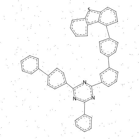 c1ccc(-c2ccc(-c3nc(-c4ccccc4)nc(-c4cccc(-c5ccc(-c6cccc7sc8ccccc8c67)cc5)c4)n3)cc2)cc1